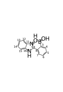 OB(O)c1ccccc1-c1nc2ccccc2[nH]1